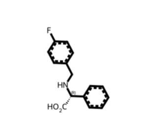 O=C(O)[C@H](NCc1ccc(F)cc1)c1ccccc1